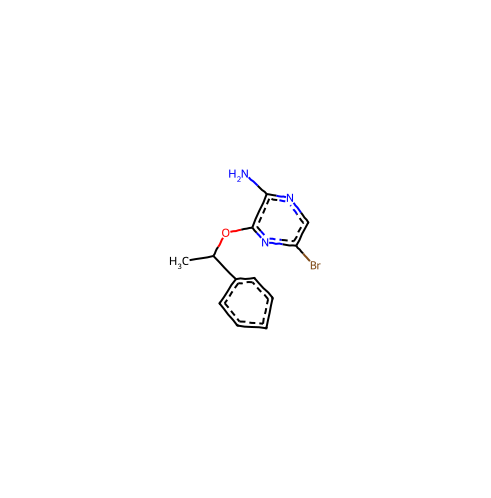 CC(Oc1nc(Br)cnc1N)c1ccccc1